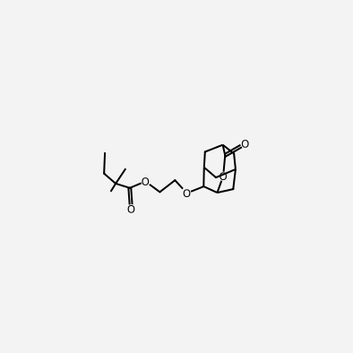 CCC(C)(C)C(=O)OCCOC1C2CC3CC(C2)C(=O)OC1C3